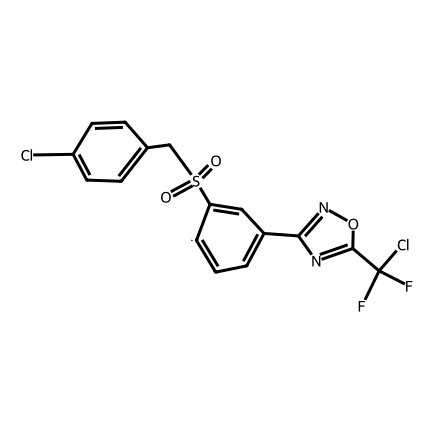 O=S(=O)(Cc1ccc(Cl)cc1)c1[c]ccc(-c2noc(C(F)(F)Cl)n2)c1